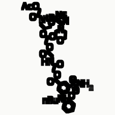 CCCCNc1cc(C(=O)OCC(=O)NCC(=O)OCC(=O)O[C@H](COc2nsnc2N2CCOCC2)CN(C(=O)COC(C)=O)C(C)(C)C)cc(S(N)(=O)=O)c1Oc1ccccc1